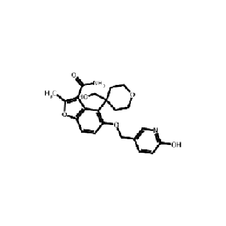 Cc1oc2ccc(OCc3ccc(O)nc3)c(C3(CO)CCOCC3)c2c1C(N)=O